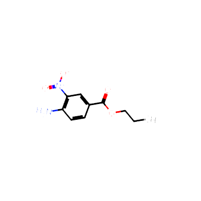 CCCOC(=O)c1ccc(N)c([N+](=O)[O-])c1